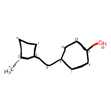 C[C@@H]1CCC1CC1CCC(O)CC1